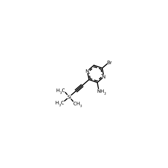 C[Si](C)(C)C#Cc1ncc(Br)nc1N